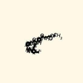 CCOC(=O)CCCNC(=O)c1ccc(NC(=O)[C@H](Cc2ccccc2)NC(=O)/C=C/c2cc(CI)ccc2-n2cnnn2)cc1